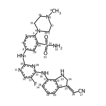 CN1CCN(c2ccc(Nc3ncc(F)c(Nc4cccc5c4NCC5=CC#N)n3)cc2S(N)(=O)=O)CC1